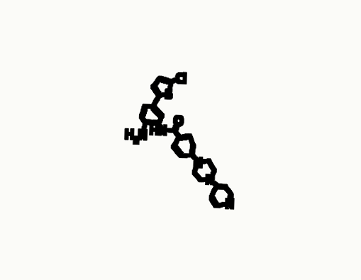 Nc1ccc(-c2ccc(Cl)s2)cc1NC(=O)c1ccc(N2CCN(c3ccncc3)CC2)cc1